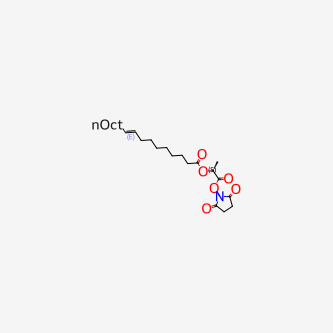 CCCCCCCC/C=C/CCCCCCCC(=O)O[C@@H](C)C(=O)ON1C(=O)CCC1=O